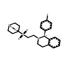 O=S(=O)(CCN1CCc2ccccc2[C@@H]1c1ccc(F)cc1)C12CCN(CC1)CC2